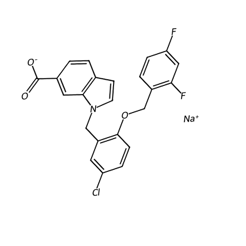 O=C([O-])c1ccc2ccn(Cc3cc(Cl)ccc3OCc3ccc(F)cc3F)c2c1.[Na+]